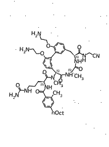 CCCCCCCCc1ccc(C(=O)N[C@@H](CCCNC(N)=O)C(=O)N(C)[C@@H]2C(=O)N[C@@H](C)C(=O)N[C@H](C(=O)NCC#N)Cc3ccc(OCCN)c(c3)-c3cc2ccc3OCCN)c(C)c1